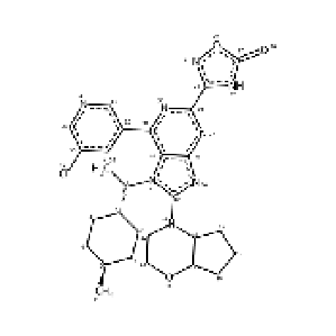 CC([C@H]1CC[C@H](C)CC1)n1c(N2CCOC3CCCC32)nc2nc(-c3noc(=O)[nH]3)nc(-c3cncc(Cl)c3)c21